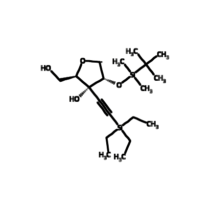 CC[Si](C#C[C@]1(O)[C@@H](O[Si](C)(C)C(C)(C)C)[CH]O[C@@H]1CO)(CC)CC